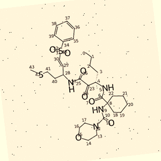 CCCC[C@H](NC(=O)C1(NC(=O)N2CCOCC2)CCCCC1)C(=O)C(=O)NC(/C=C/S(=O)(=O)c1ccccc1)CCSC